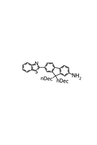 CCCCCCCCCCC1(CCCCCCCCCC)c2cc(N)ccc2-c2ccc(-c3nc4ccccc4s3)cc21